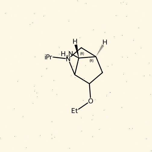 CCOC1C[C@@H]2CN(C(C)C)C1[C@@H]2N